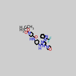 CC(C)(C)OC(=O)N1CCC(C(=O)N[C@H]2CC[C@H](Nc3nc(N4CCOCC4)cc(-n4c(C(F)F)nc5ccccc54)n3)CC2)CC1